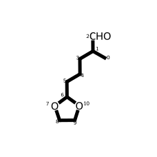 CC(C=O)CCCC1OCCO1